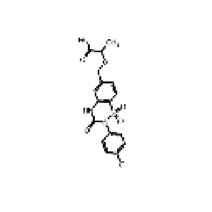 CC(OCc1ccc2c(c1)NC(=O)N(c1ccc(Cl)cc1)S2(=O)=O)C(=O)O